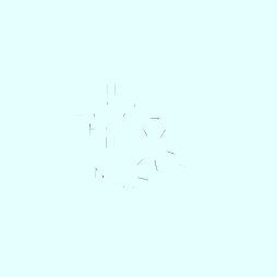 CC(C)(C)C(=O)Oc1ccc2c(c1)C(c1ccc(O[C@H]3CCN(CCCF)C3)cc1)=C(Br)CCC2